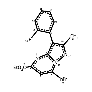 CCCc1cc(C(=O)OCC)nc2c(-c3ccccc3F)c(C)nn12